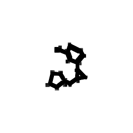 Brc1cccc(C2CC2CN2CCCC2)c1